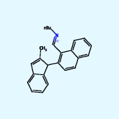 CCCC/N=C/c1c(C2C(C)=Cc3ccccc32)ccc2ccccc12